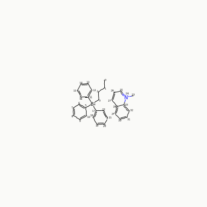 CCCC[B-](c1ccccc1)(c1ccccc1)c1ccccc1.C[n+]1cccc2ccccc21